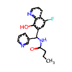 CCCC(=O)NC(c1cccnc1)c1cc(F)c2cccnc2c1O